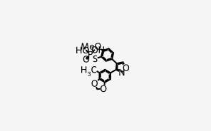 COc1ccc(-c2conc2-c2cc(C)c3c(c2)OCO3)cc1SP(=O)(O)O